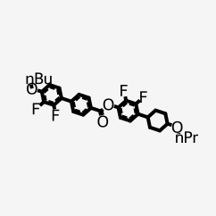 CCCCOc1ccc(-c2ccc(C(=O)Oc3ccc(C4CCC(OCCC)CC4)c(F)c3F)cc2)c(F)c1F